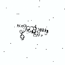 COc1ccc2c(c1)C(CC(=O)NCc1ccco1)=C(C)/C2=C/c1cc(OC)c(OCC(=O)N2CCN(C)CC2)c(OC)c1